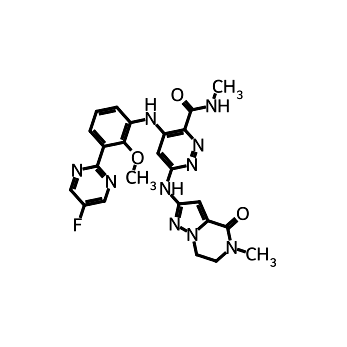 CNC(=O)c1nnc(Nc2cc3n(n2)CCN(C)C3=O)cc1Nc1cccc(-c2ncc(F)cn2)c1OC